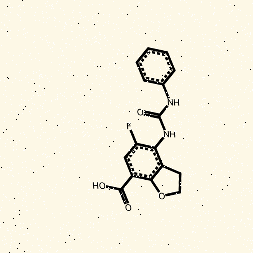 O=C(Nc1ccccc1)Nc1c(F)cc(C(=O)O)c2c1CCO2